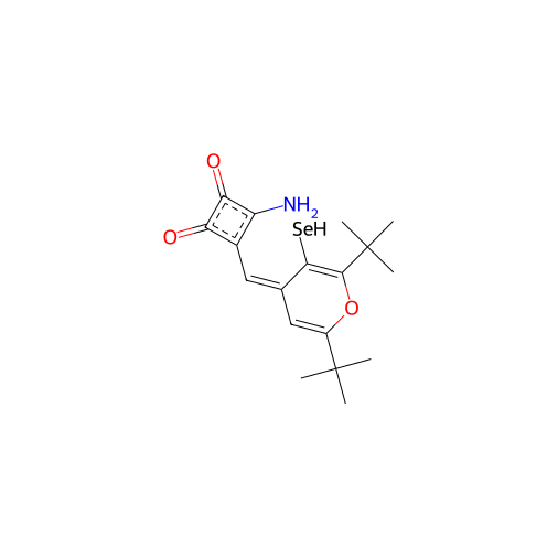 CC(C)(C)C1=CC(=Cc2c(N)c(=O)c2=O)C([SeH])=C(C(C)(C)C)O1